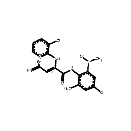 Cc1cc(Cl)cc([S+](C)[O-])c1NC(=O)/C(=C/C(=N)Br)Nc1ncccc1Cl